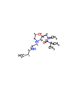 CCCNCCN1CCO[C@@H](CN(C)C(=O)C(C)C)C1